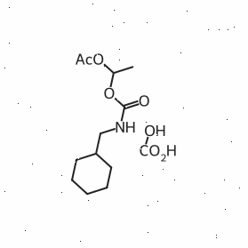 CC(=O)OC(C)OC(=O)NCC1CCCCC1.O=C(O)O